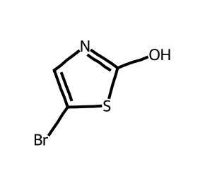 Oc1ncc(Br)s1